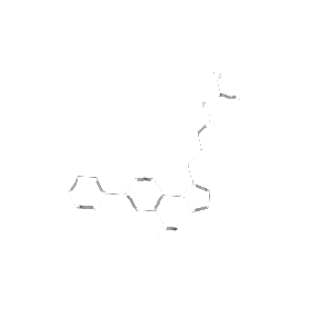 N=C(N)NN=CCCc1cccn1-c1ccc(-c2ccccc2)cc1[N+](=O)[O-]